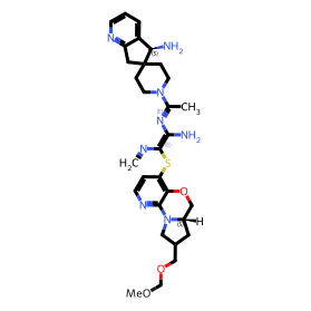 C=N/C(Sc1ccnc2c1OC[C@@H]1CC(COCOC)CN21)=C(N)\N=C(/C)N1CCC2(CC1)Cc1ncccc1[C@H]2N